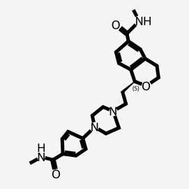 CNC(=O)c1ccc(N2CCN(CC[C@@H]3OCCc4cc(C(=O)NC)ccc43)CC2)cc1